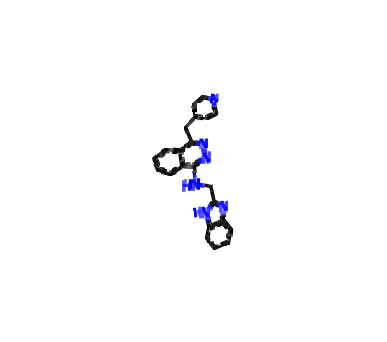 c1ccc2[nH]c(CNc3nnc(Cc4ccncc4)c4ccccc34)nc2c1